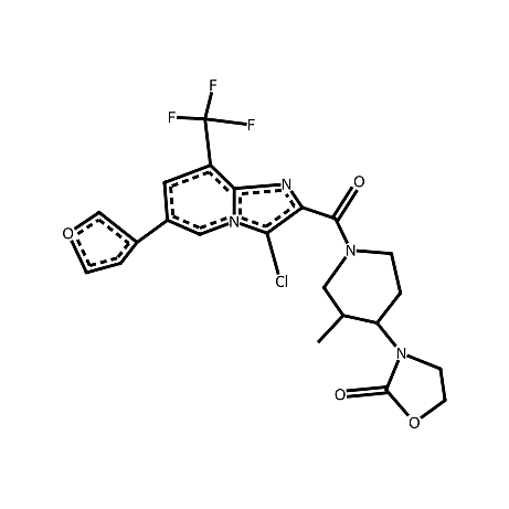 CC1CN(C(=O)c2nc3c(C(F)(F)F)cc(-c4ccoc4)cn3c2Cl)CCC1N1CCOC1=O